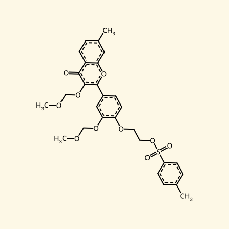 COCOc1cc(-c2oc3cc(C)ccc3c(=O)c2OCOC)ccc1OCCOS(=O)(=O)c1ccc(C)cc1